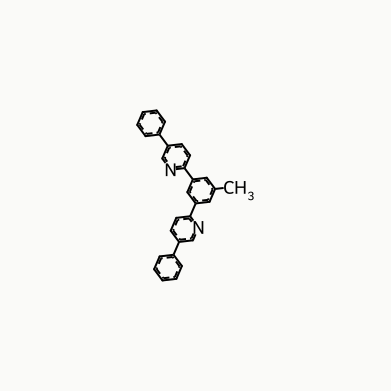 Cc1cc(-c2ccc(-c3ccccc3)cn2)cc(-c2ccc(-c3ccccc3)cn2)c1